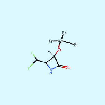 CC[Si](CC)(CC)O[C@@]1(C)C(=O)N[C@H]1C(F)F